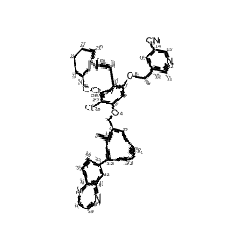 Cc1c(COc2cc(OCc3cncc(C#N)c3)c(CN3CCCCC3C(=O)O)cc2Cl)cccc1-c1ccc2nccnc2c1